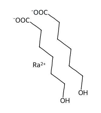 O=C([O-])CCCCCO.O=C([O-])CCCCCO.[Ra+2]